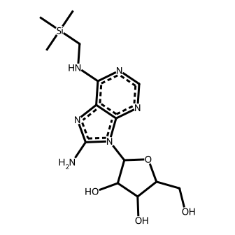 C[Si](C)(C)CNc1ncnc2c1nc(N)n2C1OC(CO)C(O)C1O